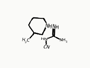 CC1CCCNC1.N#CNC(=N)N